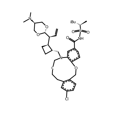 C=C[C@H]([C@H]1OC[C@H](N(C)C)CO1)[C@@H]1CC[C@H]1CN1CCCCc2cc(Cl)ccc2COc2ccc(C(=O)NS(=O)(=O)[C@H](C)[C@@H](C)CC)cc21